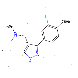 CCCN(C)Cc1c[nH]nc1-c1ccc(OC)c(F)c1